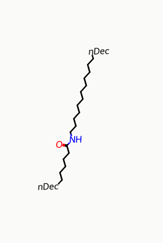 CCCCCCCCCCCCCCCCCCCCCCNC(=O)CCCCCCCCCCCCCCC